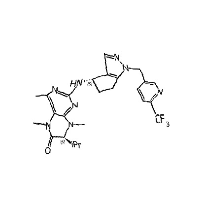 Cc1nc(N[C@H]2CCc3c2cnn3Cc2ccc(C(F)(F)F)nc2)nc2c1N(C)C(=O)[C@H](C(C)C)N2C